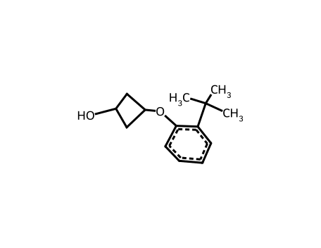 CC(C)(C)c1ccccc1OC1CC(O)C1